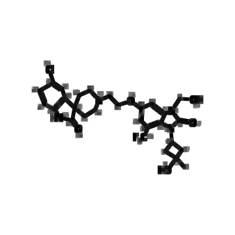 CC1(O)CC(n2c(=O)n(CO)c3cc(OCCN4CCC5(CC4)C(=O)Nc4ccc(Cl)cc45)cc(C(F)(F)F)c32)C1